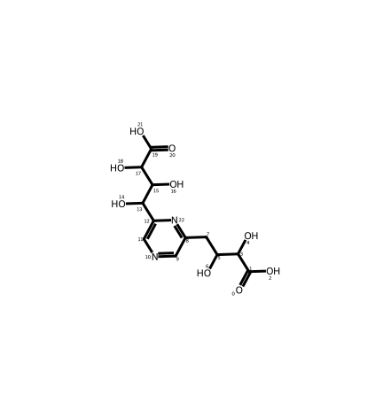 O=C(O)C(O)C(O)Cc1cncc(C(O)C(O)C(O)C(=O)O)n1